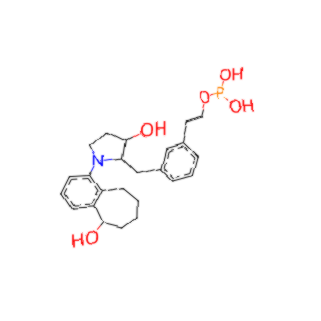 OC1CCCCc2c1cccc2N1CCC(O)C1Cc1cccc(CCOP(O)O)c1